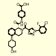 O=C(O)c1ccc(NC(=O)[C@H]2c3cccc(N4CCC(O)CC4)c3CCN2C(=O)c2cn(-c3cccc(Cl)c3F)nn2)cc1